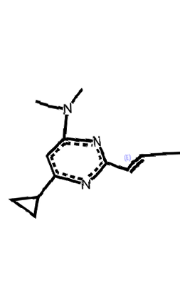 C/C=C/c1nc(C2CC2)cc(N(C)C)n1